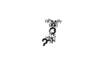 C=C/C=C(\C=C/C)c1nnc(SC2=NCC=C(S(=O)(=O)N(CCC)CCC)C=C2)[nH]1